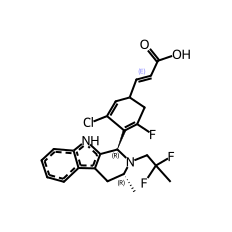 C[C@@H]1Cc2c([nH]c3ccccc23)[C@@H](C2=C(F)CC(/C=C/C(=O)O)C=C2Cl)N1CC(C)(F)F